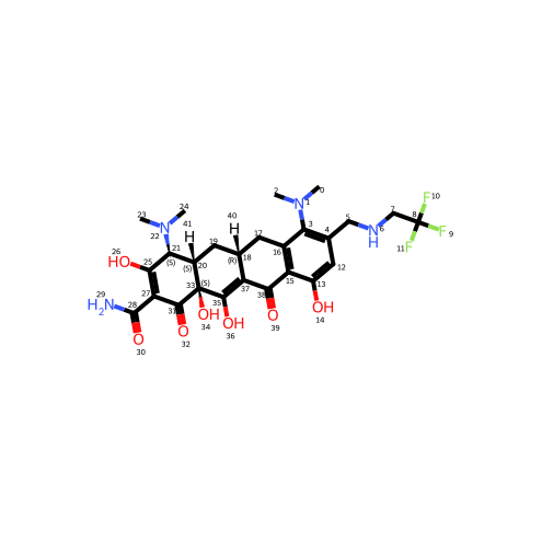 CN(C)c1c(CNCC(F)(F)F)cc(O)c2c1C[C@H]1C[C@H]3[C@H](N(C)C)C(O)=C(C(N)=O)C(=O)[C@@]3(O)C(O)=C1C2=O